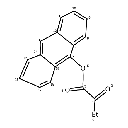 CCC(=O)C(=O)Oc1c2ccccc2cc2ccccc12